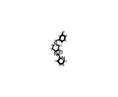 Cc1cccc(CN2CCc3nc(-c4ccccn4)oc3C2)c1